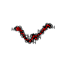 CCc1c2c(nc3cc(F)c(OCNC(=O)OCc4ccc(NC(=O)[C@H](C)NC(=O)[C@@H](NC(=O)CN(CCN5C(=O)C=CC5=O)CC(=O)N[C@H](C(=O)N[C@@H](C)C(=O)Nc5ccc(COC(=O)NCOc6cc7c(CC)c8c(nc7cc6F)-c6cc7c(c(=O)n6C8)COC(=O)[C@]7(O)CC)cc5)C(C)C)C(C)C)cc4)cc13)-c1cc3c(c(=O)n1C2)COC(=O)[C@]3(O)CC